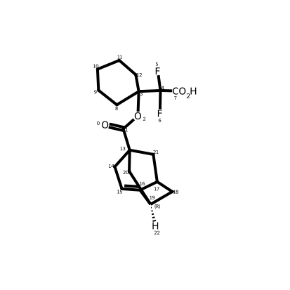 O=C(OC1(C(F)(F)C(=O)O)CCCCC1)C12CC=C3C(C[C@@H]3C1)C2